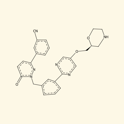 N#Cc1cccc(-c2ccc(=O)n(Cc3cccc(-c4ncc(OC[C@@H]5CNCCO5)cn4)c3)n2)c1